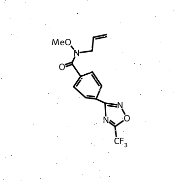 C=CCN(OC)C(=O)c1ccc(-c2noc(C(F)(F)F)n2)cc1